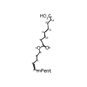 CCCCC/C=C\CCCOC(=O)CCCCCCC(=O)O